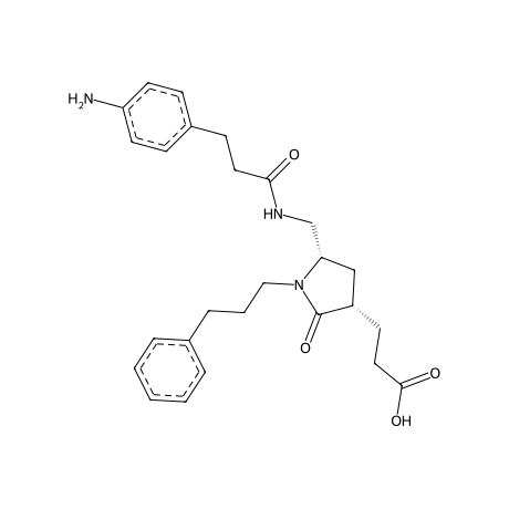 Nc1ccc(CCC(=O)NC[C@@H]2C[C@H](CCC(=O)O)C(=O)N2CCCc2ccccc2)cc1